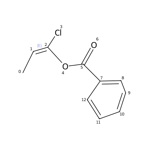 C/C=C(/Cl)OC(=O)c1ccccc1